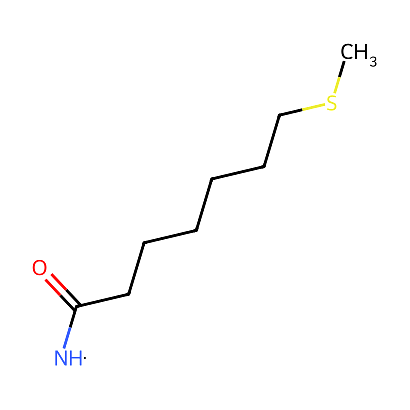 CSCCCCCCC([NH])=O